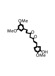 COc1cc(C=CC(=O)CC(=O)C=Cc2ccc(OC)c(O)c2)cc(OC)c1